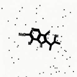 COc1ncc2c(I)c(C(C)C(C)S)[nH]c2c1Br